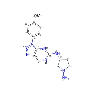 COc1ccc(-n2nnc3cnc(N[C@@H]4CCN(N)C4)nc32)cc1